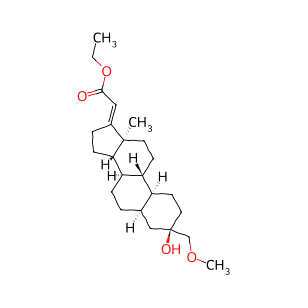 CCOC(=O)/C=C1\CC[C@H]2[C@@H]3CC[C@@H]4C[C@@](O)(COC)CC[C@@H]4[C@H]3CC[C@]12C